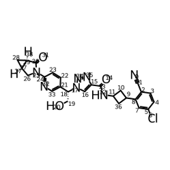 N#Cc1ccc(Cl)cc1C1CC(NC(=O)c2cn([C@H](CO)c3ccc(N4C[C@H]5C[C@H]5C4=O)nc3)nn2)C1